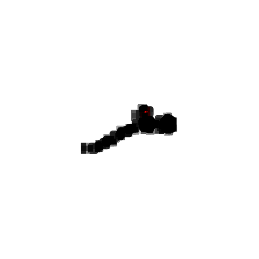 CC(=O)Nc1cc(-c2nc3ccccc3s2)ccc1OCCOCCOCCOCCO